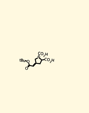 CC(C)(C)OC(=O)C=C1CC(C(=O)O)N(C(=O)O)C1